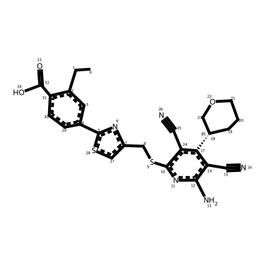 CCc1cc(-c2nc(CSc3nc(N)c(C#N)c([C@H]4CCCOC4)c3C#N)cs2)ccc1C(=O)O